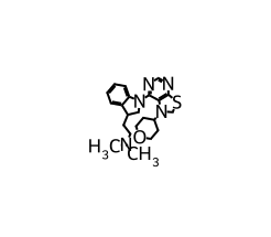 CN(C)CCC1CN(c2ncnc3c2N(C2CCOCC2)CS3)c2ccccc21